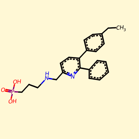 CCc1ccc(-c2ccc(CNCCCP(=O)(O)O)nc2-c2ccccc2)cc1